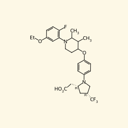 CCOc1ccc(F)c(N2CCC(Oc3ccc(N4C[C@H](C(F)(F)F)C[C@@H]4CC(=O)O)cc3)C(C)C2C)c1